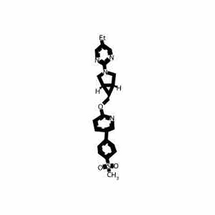 CCc1cnc(N2C[C@@H]3[C@@H](COc4ccc(-c5ccc(S(C)(=O)=O)cc5)cn4)[C@@H]3C2)nc1